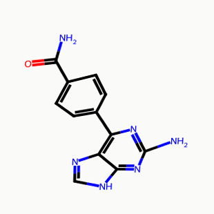 NC(=O)c1ccc(-c2nc(N)nc3[nH]cnc23)cc1